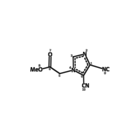 [C-]#[N+]c1ncn(CC(=O)OC)c1C#N